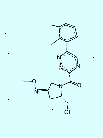 CO/N=C1/C[C@@H](CO)N(C(=O)c2ncc(-c3cccc(C)c3C)nn2)C1